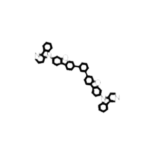 c1cc(-c2ccc3c(c2)oc2cc(-n4c5ccccc5c5cnccc54)ccc23)cc(-c2ccc3c(c2)oc2cc(-n4c5ccccc5c5ncccc54)ccc23)c1